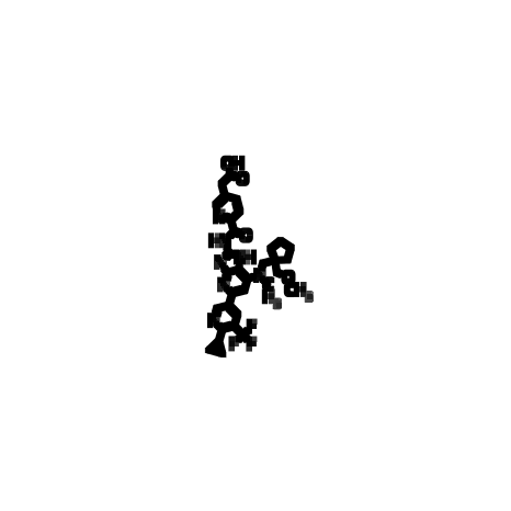 COCC1(CN(C)c2cc(-c3cnc(C4CC4)c(C(F)(F)F)c3)nc3nc(NC(=O)c4ccc(CC(=O)O)cn4)[nH]c23)CCCC1